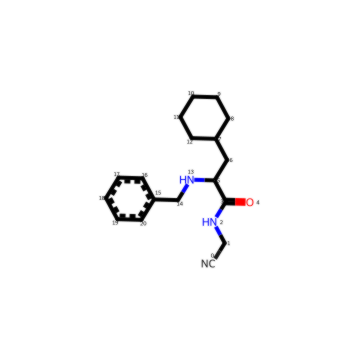 N#CCNC(=O)C(CC1CCCCC1)NCc1ccccc1